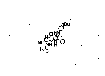 CC(C)(C)N1CCC(n2cc([C@@H](Nc3cc(Cl)c4ncc(C#N)c(NCc5ccccc5F)c4c3)c3ccccc3)nn2)CC1